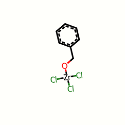 [Cl][Zr]([Cl])([Cl])[O]Cc1ccccc1